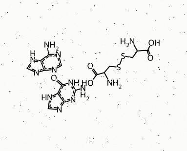 NC(CSSCC(N)C(=O)O)C(=O)O.Nc1nc2nc[nH]c2c(=O)[nH]1.Nc1ncnc2nc[nH]c12